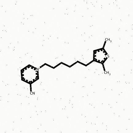 Cc1cc(CCCCCC[n+]2cccc(C#N)c2)c(C)s1